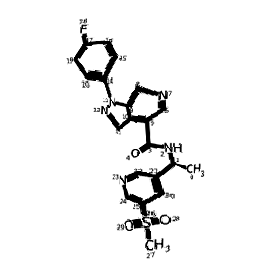 C[C@H](NC(=O)c1cncc2c1cnn2-c1ccc(F)cc1)c1cncc(S(C)(=O)=O)c1